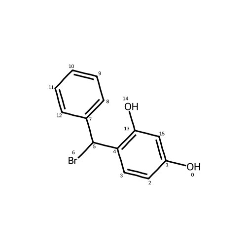 Oc1ccc(C(Br)c2ccccc2)c(O)c1